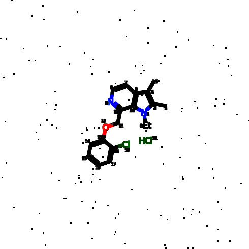 CCn1c(C)c(C)c2ccnc(COc3ccccc3Cl)c21.Cl